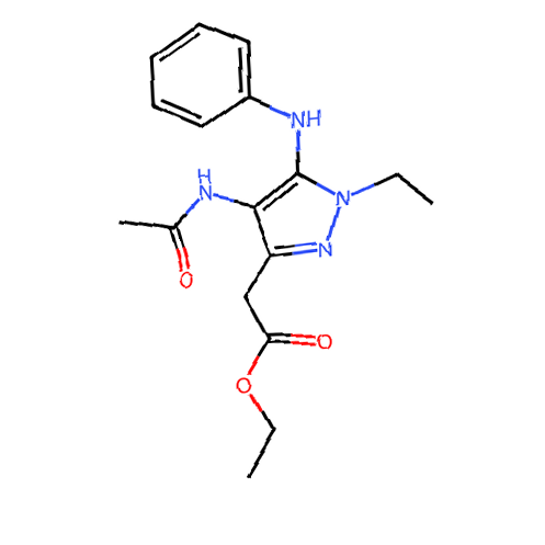 CCOC(=O)Cc1nn(CC)c(Nc2ccccc2)c1NC(C)=O